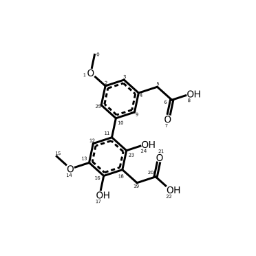 COc1cc(CC(=O)O)cc(-c2cc(OC)c(O)c(CC(=O)O)c2O)c1